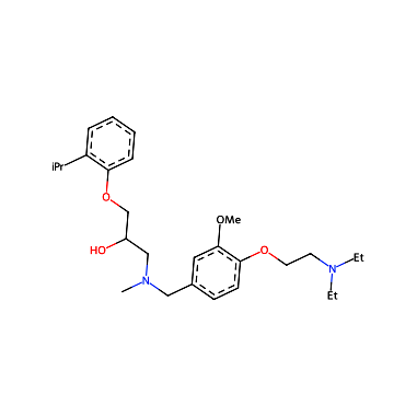 CCN(CC)CCOc1ccc(CN(C)CC(O)COc2ccccc2C(C)C)cc1OC